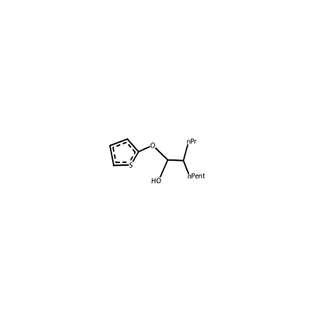 CCCCCC(CCC)C(O)Oc1cccs1